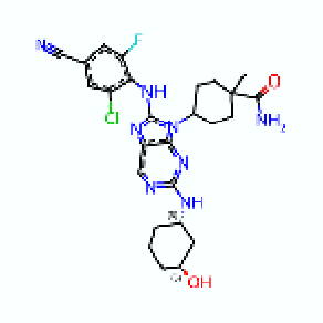 CC1(C(N)=O)CCC(n2c(Nc3c(F)cc(C#N)cc3Cl)nc3cnc(N[C@H]4CCC[C@H](O)C4)nc32)CC1